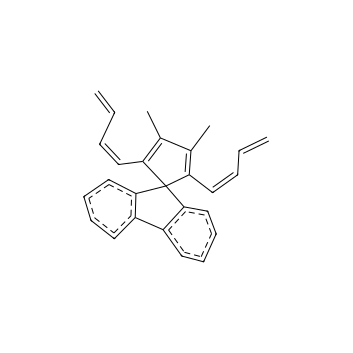 C=C/C=C\C1=C(C)C(C)=C(/C=C\C=C)C12c1ccccc1-c1ccccc12